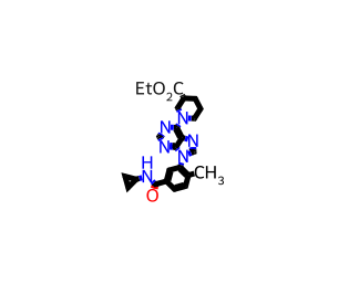 CCOC(=O)C1CCCN(c2ncnc3c2ncn3-c2cc(C(=O)NC3CC3)ccc2C)C1